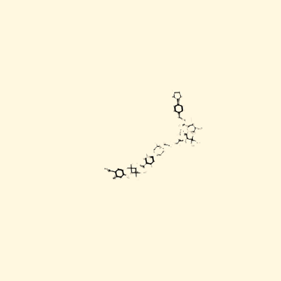 CC1(C)C(NC(=O)c2ccc(N3CCN(CCOCC(=O)N[C@H](C(=O)N4C[C@H](O)C[C@H]4C(=O)NCc4ccc(C5CCCC5)cc4)C(C)(C)C)CC3)nc2)C(C)(C)C1Oc1ccc(C#N)c(Cl)c1